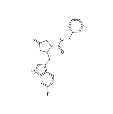 C=C1CC(Cc2c[nH]c3cc(F)ccc23)N(C(=O)OCc2ccccc2)C1